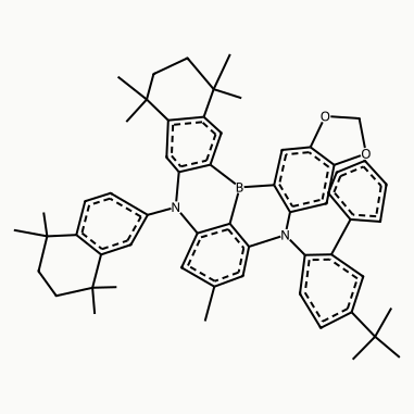 Cc1cc2c3c(c1)N(c1ccc(C(C)(C)C)cc1-c1ccccc1)c1cc4c(cc1B3c1cc3c(cc1N2c1ccc2c(c1)C(C)(C)CCC2(C)C)C(C)(C)CCC3(C)C)OCO4